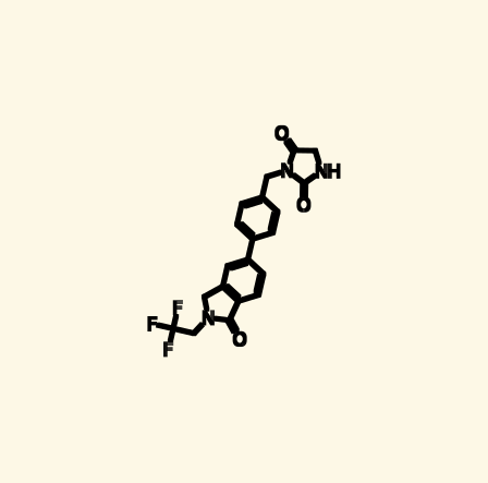 O=C1c2ccc(-c3ccc(CN4C(=O)CNC4=O)cc3)cc2CN1CC(F)(F)F